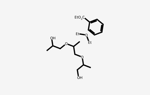 CC(O)COC(C)COC(C)CO.CCOC(=O)c1ccccc1.CCOCC